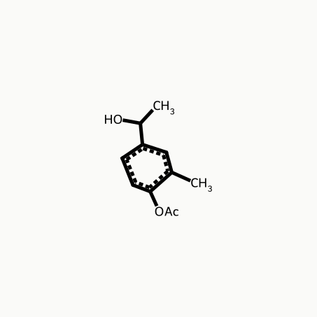 CC(=O)Oc1ccc(C(C)O)cc1C